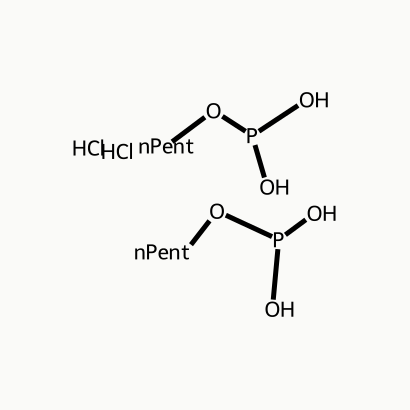 CCCCCOP(O)O.CCCCCOP(O)O.Cl.Cl